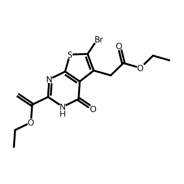 C=C(OCC)c1nc2sc(Br)c(CC(=O)OCC)c2c(=O)[nH]1